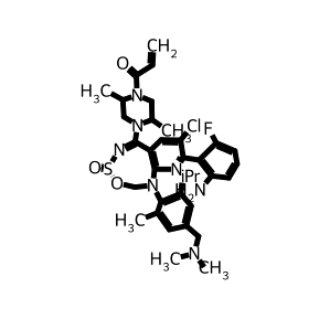 C=CC(=O)N1CC(C)N(/C2=N/S(=O)OCN(c3c(C)cc(CN(C)C)cc3C(C)C)c3nc(-c4c(N)cccc4F)c(Cl)cc32)CC1C